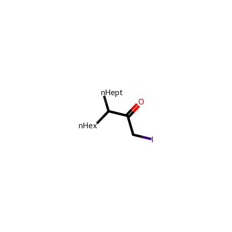 CCCCCCCC(CCCCCC)C(=O)CI